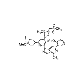 COc1ccncc1-c1cc2c(cnn2-c2cc(N3C[C@H](CS(C)(=O)=O)[C@H]3C)cc(C3CCC(CF)(OC)CC3)n2)c(C)n1